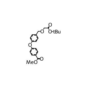 COC(=O)c1ccc(Oc2ccc(COCC(=O)OC(C)(C)C)cc2)cc1